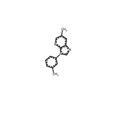 Cc1cccc(-n2cnc3cc(C)cnc32)c1